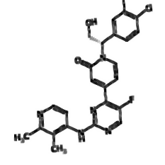 Cc1nccc(Nc2ncc(F)c(-c3ccn([C@H](CO)c4ccc(Cl)c(F)c4)c(=O)c3)n2)c1C